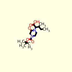 CCC(C)C(C(=O)O)N1CCN(C(=O)OC(C)(C)C)CC1=O